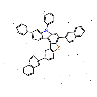 C1=Cc2cc(-c3ccc4sc5c(-c6ccc7ccccc7c6)cc6c(c7ccc(-c8ccccc8)cc7n6-c6ccccc6)c5c4c3)ccc2CC1